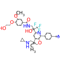 COc1cc(C(=O)NC[C@](O)(c2cc3c(c(-c4ccc(C#N)cc4)n2)OC[C@]3(C)CNC2CC2)C(F)(F)F)ccc1OCCO